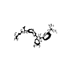 CC(C)Oc1cccc(C(=O)N[C@H](c2cn3ncc([C@H](NC(=O)CCC(F)(F)F)C4CC4)cc3n2)C2CCC(F)(F)CC2)n1